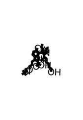 CCc1c(-c2c(Cl)ccc3c(CCCO[Si](C)(C)C(C)(C)C)c(C(=O)O)n(CC)c23)c(/C=C/CCCCO)nn1C